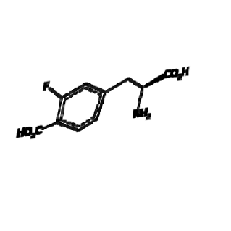 N[C@@H](Cc1ccc(C(=O)O)c(F)c1)C(=O)O